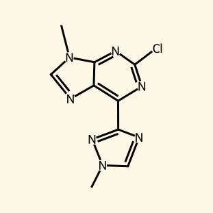 Cn1cnc(-c2nc(Cl)nc3c2ncn3C)n1